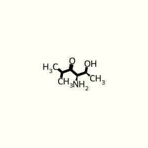 CC(C)C(=O)[C@H](N)[C@H](C)O